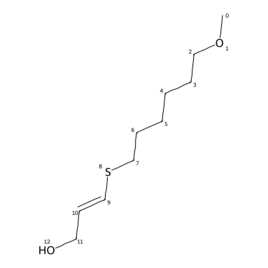 COCCCCCCSC=CCO